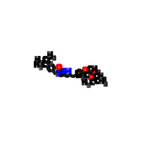 CC(C)(C)OC(=O)C(C)(C)Oc1ccc(CCCc2cn(Cc3ccc(C(C)(C)C)cc3)c(=O)[nH]2)cc1